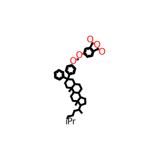 CC(C)CCCC(C)C1CCC2C3CCC4CC(c5ccccc5)(c5ccc(OCOc6ccc7c(c6)C(=O)OC7=O)cc5)CCC4(C)C3CCC12C